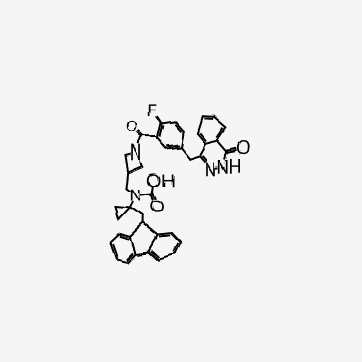 O=C(c1cc(Cc2n[nH]c(=O)c3ccccc23)ccc1F)N1CC(CN(C(=O)O)C2(CC3c4ccccc4-c4ccccc43)CC2)C1